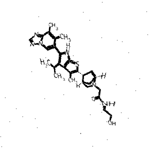 Cc1c(-c2[nH]c3sc([C@@H]4C[C@@H]5C[C@H]4CN5CC(=O)NCCO)c(C)c3c2C(C)C)cn2ncnc2c1C